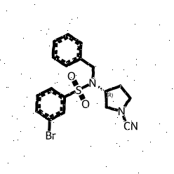 N#CN1CC[C@@H](N(Cc2ccccc2)S(=O)(=O)c2cccc(Br)c2)C1